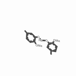 COc1ccc(C)cc1OBOc1cc(C)ccc1OC